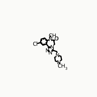 CN1CCN(Cc2nnc3n2CC(=O)N(C)c2ccc(Cl)cc2-3)CC1